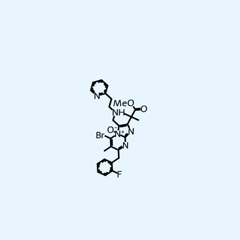 COC(=O)C(C)(C)C1=C(CNCCc2ccccn2)[N+]2([O-])C(=N1)N=C(Cc1ccccc1F)C(C)=C2Br